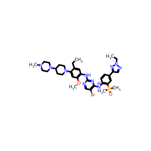 CCc1cc(Nc2ncc(Br)c(Nc3ccc(-c4cnn(CC)n4)cc3P(C)(C)=O)n2)c(OC)cc1N1CCC(N2CCN(C)CC2)CC1